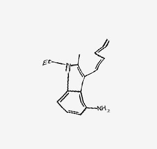 C=C/C=C\c1c(C)n(CC)c2cccc(N)c12